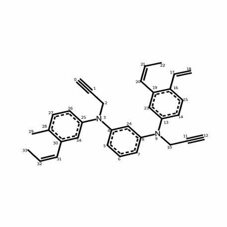 C#CCN(c1cccc(N(CC#C)c2ccc(C=C)c(/C=C\C)c2)c1)c1ccc(C)c(/C=C\C)c1